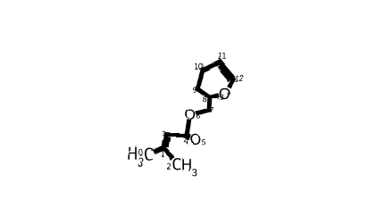 CC(C)=CC(=O)OCC1CCC=CO1